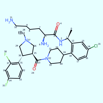 C[C@H](NC(=O)[C@@H](N)CCCCN)c1cc(Cl)ccc1C1CCN(C(=O)[C@@H]2CN(C(C)(C)C)C[C@H]2c2ccc(F)cc2F)CC1